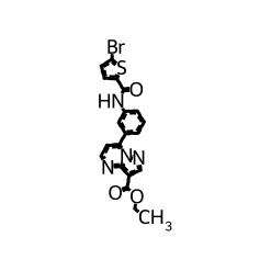 CCOC(=O)c1cnn2c(-c3cccc(NC(=O)c4ccc(Br)s4)c3)ccnc12